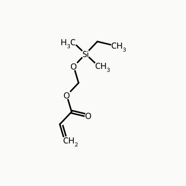 C=CC(=O)OCO[Si](C)(C)CC